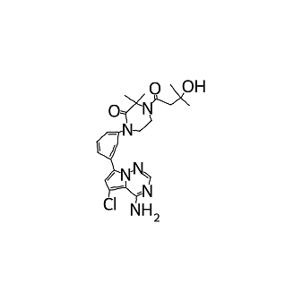 CC(C)(O)CC(=O)N1CCN(c2cccc(-c3cc(Cl)c4c(N)ncnn34)c2)C(=O)C1(C)C